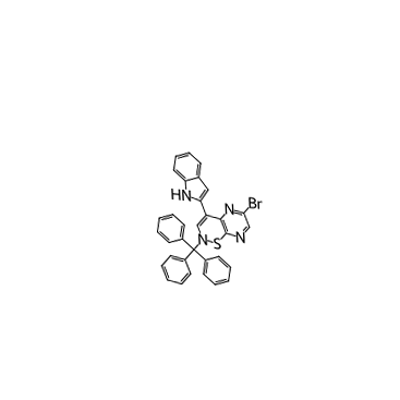 Brc1cnc2c(n1)C(c1cc3ccccc3[nH]1)=CN(C(c1ccccc1)(c1ccccc1)c1ccccc1)S2